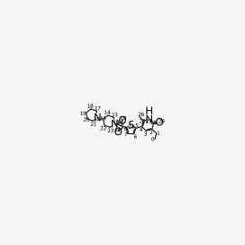 CCc1cc(-c2ccc(S(=O)(=O)N3CCC(N4CCCCC4)CC3)s2)c(C)[nH]c1=O